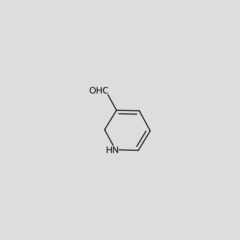 O=CC1=CC=CNC1